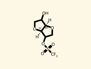 O=S(=O)(OC1CO[C@@H]2C(O)CO[C@H]12)C(F)(F)F